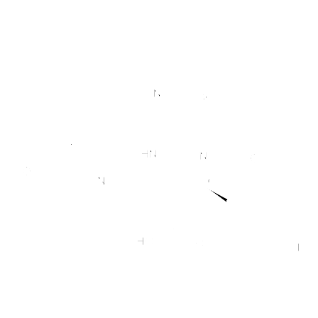 O=C(O)C1=C(CN2CC(O)C(F)(F)C2)NC(c2nccs2)=N[C@H]1c1ccc(F)cc1Cl